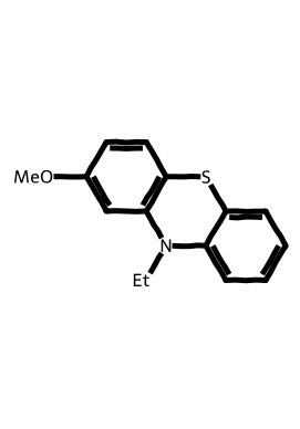 CCN1c2ccccc2Sc2ccc(OC)cc21